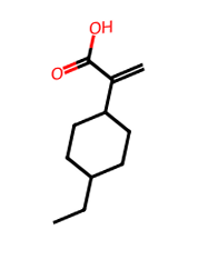 C=C(C(=O)O)C1CCC(CC)CC1